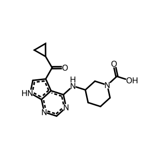 O=C(c1c[nH]c2ncnc(NC3CCCN(C(=O)O)C3)c12)C1CC1